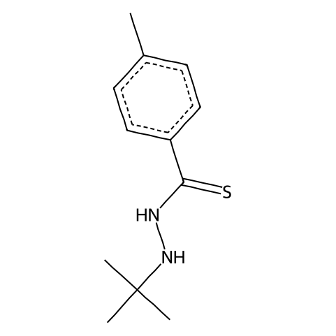 Cc1ccc(C(=S)NNC(C)(C)C)cc1